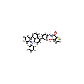 O=C1/C(=C\c2ccc(-c3ccc4c5c(cccc35)-c3ccccc3N4c3ccccc3)cc2)C(=O)c2sccc21